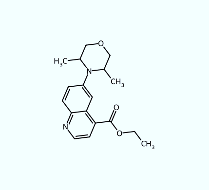 CCOC(=O)c1ccnc2ccc(N3C(C)COCC3C)cc12